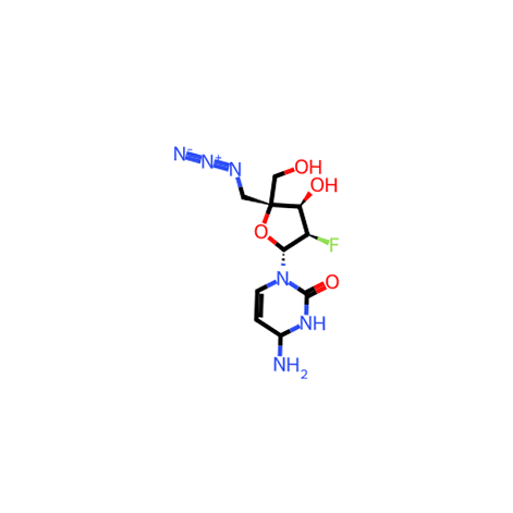 [N-]=[N+]=NC[C@]1(CO)O[C@@H](N2C=CC(N)NC2=O)[C@H](F)[C@@H]1O